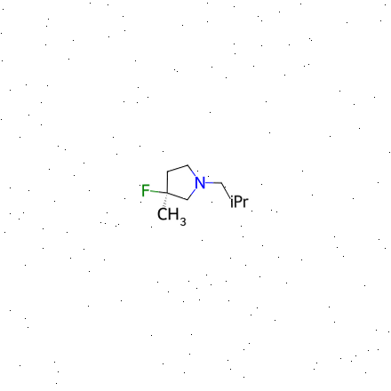 CC(C)CN1CC[C@](C)(F)C1